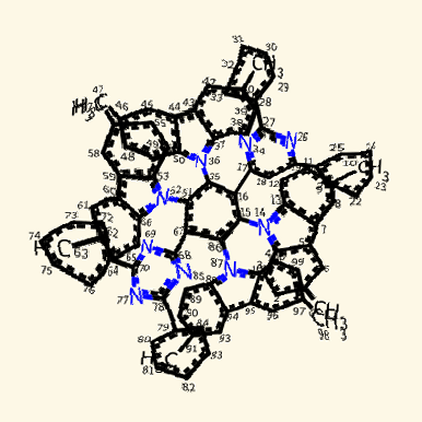 Cc1ccc2c(c1)c1cc(C)ccc1n2-c1c(-c2cc(-c3ccccc3)nc(-c3ccccc3)n2)c(-n2c3ccc(C)cc3c3cc(C)ccc32)c(-n2c3ccc(C)cc3c3cc(C)ccc32)c(-c2nc(-c3ccccc3)nc(-c3ccccc3)n2)c1-n1c2ccc(C)cc2c2cc(C)ccc21